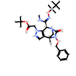 CN/C(=N\O[Si](C)(C)C(C)(C)C)[C@@H]1c2c(cnn2CC(=O)OC(C)(C)C)[C@@H]2CN1C(=O)N2OCc1ccccc1